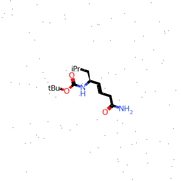 CC(C)C[C@@H](/C=C/CC(N)=O)NC(=O)OC(C)(C)C